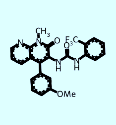 COc1cccc(-c2c(NC(=O)Nc3ccccc3C(F)(F)F)c(=O)n(C)c3ncccc23)c1